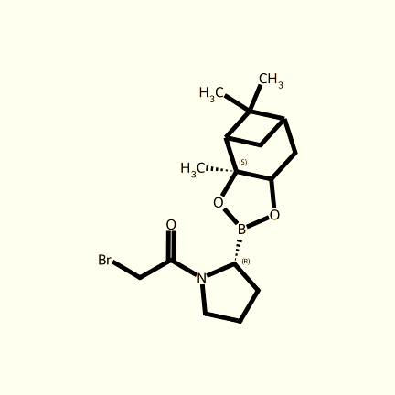 CC1(C)C2CC3OB([C@@H]4CCCN4C(=O)CBr)O[C@@]3(C)C1C2